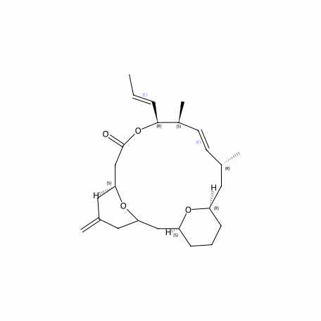 C=C1CC2C[C@@H]3CCC[C@H](C[C@@H](C)/C=C/[C@H](C)[C@H](/C=C/C)OC(=O)C[C@H](C1)O2)O3